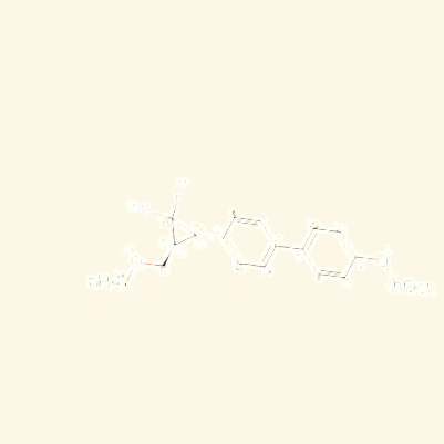 CCCCCCCCOc1ccc(-c2ccc([C@@H]3[C@@H](COCCCCCC)C3(F)F)cc2)cc1